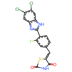 O=C1NC(=O)C(=Cc2ccc(-c3nc4cc(Cl)c(Cl)cc4[nH]3)c(F)c2)S1